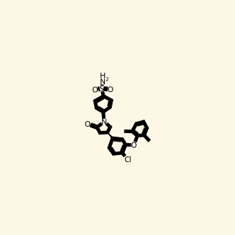 Cc1cccc(C)c1Oc1cc([C@H]2CC(=O)N(c3ccc(S(N)(=O)=O)cc3)C2)ccc1Cl